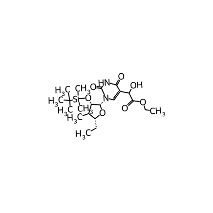 CCOC(=O)C(O)c1cn([C@@H]2O[C@H](CC)C(C)[C@@H]2O[Si](C)(C)C(C)(C)C)c(=O)[nH]c1=O